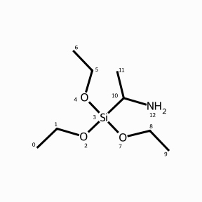 CCO[Si](OCC)(OCC)C(C)N